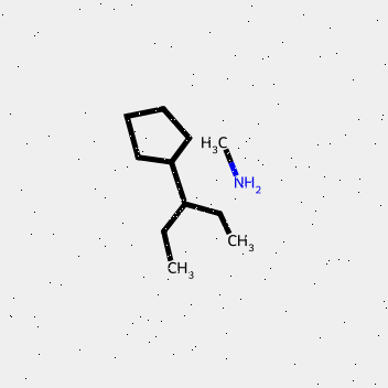 CCC(CC)C1CCCC1.CN